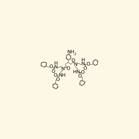 Nc1ccc(C(CC(=O)N(CCNC(=O)OCc2ccccc2)CCNC(=O)OCc2ccccc2)CC(=O)N(CCNC(=O)OCc2ccccc2)CCNC(=O)OCc2ccccc2)cc1